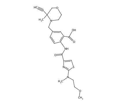 C#CC1(C)COCCN1Cc1ccc(NC(=O)c2csc(N(C)CCOC)n2)c(C(=O)O)c1